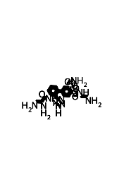 NCCNS(=O)(=O)c1ccc(-c2cccc(NC(=O)C(N)CN)c2-c2nn[nH]n2)cc1S(N)(=O)=O